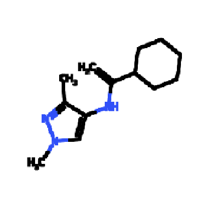 C=C(Nc1cn(C)nc1C)C1CCCCC1